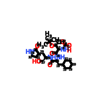 C[C@@H](OC(C)(C)C)[C@H](NC(=O)O)C(=O)N[C@@H](CC1CCCCC1)C(=O)N[C@H](CO)C[C@@H]1CCNC1=O